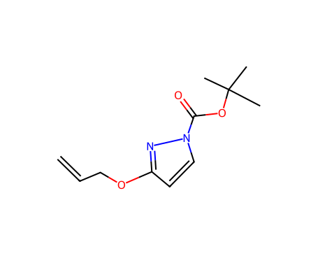 C=CCOc1ccn(C(=O)OC(C)(C)C)n1